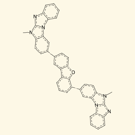 Cn1c2ccc(-c3ccc4oc5c(-c6ccc7c(c6)n6c8ccccc8nc6n7C)cccc5c4c3)cc2n2c3ccccc3nc12